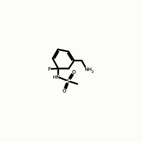 CS(=O)(=O)NC1(F)C=CC=C(CN)C1